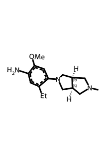 CCc1cc(N)c(OC)cc1N1C[C@H]2CN(C)C[C@H]2C1